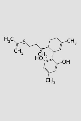 C=C(C)SCCC(=C)[C@H]1CCC(C)=C[C@@H]1c1c(O)cc(C)cc1O